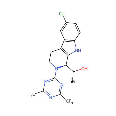 CC(C)[C@@H](O)[C@@H]1c2[nH]c3ccc(Cl)cc3c2CCN1c1nc(C(F)(F)F)nc(C(F)(F)F)n1